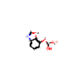 OB(O)Oc1cccc2ncoc12